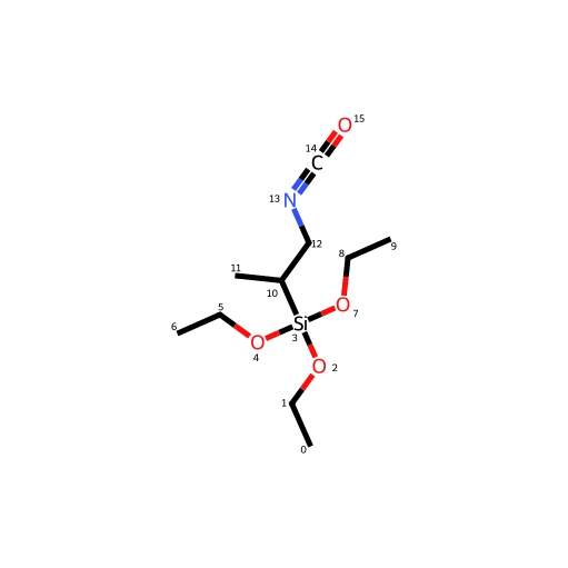 CCO[Si](OCC)(OCC)C(C)CN=C=O